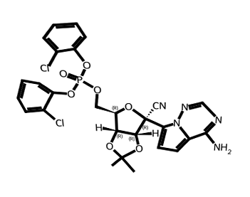 CC1(C)O[C@H]2[C@@H](O1)[C@](C#N)(c1ccc3c(N)ncnn13)O[C@@H]2COP(=O)(Oc1ccccc1Cl)Oc1ccccc1Cl